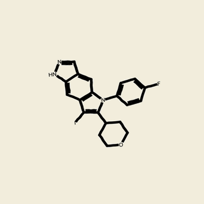 Fc1ccc(-n2c(C3CCOCC3)c(I)c3cc4[nH]ncc4cc32)cc1